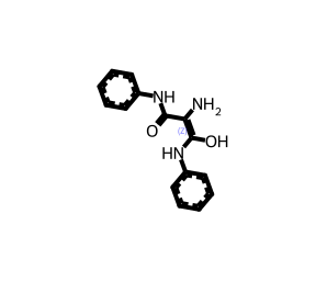 N/C(C(=O)Nc1ccccc1)=C(\O)Nc1ccccc1